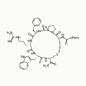 CCCCCC(=O)N[C@H]1CCSSC[C@@H](C(N)=O)NC(=O)[C@H](Cc2c[nH]c3ccccc23)NC(=O)[C@H](CCCNC(=N)N)NC(=O)[C@@H](Cc2ccccc2)NC(=O)[C@@H]2CCCN2C1=O